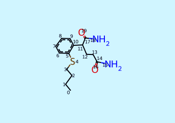 CCCCSc1ccccc1C(CCC(N)=O)C(N)=O